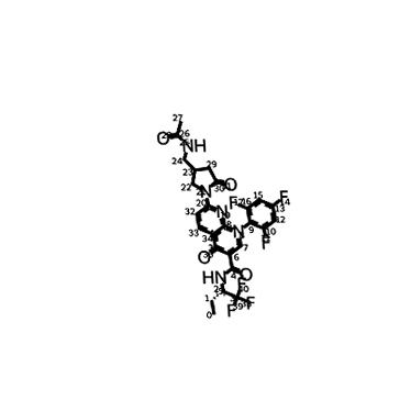 CC[C@H](NC(=O)c1cn(-c2c(F)cc(F)cc2F)c2nc(N3CC(CNC(C)=O)CC3=O)ccc2c1=O)C(F)(F)F